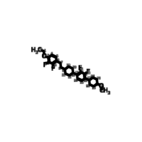 CCOc1ccc(CCC2CCC(c3ccc(C4CCC(OC)CC4)c(F)c3F)CC2)c(F)c1F